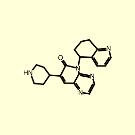 O=c1c(C2CCNCC2)cc2nccnc2n1C1CCCc2ncccc21